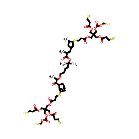 CC(CC1CC(C)C(SCCC(=O)OCC(COC(=O)CCS)(COC(=O)CCS)COC(=O)OCS)C1)C(=O)OC(C)(C)CCCCOC(C)C(=O)C1CC2CC(SCCC(=O)OCC(COC(=O)CCS)(COC(=O)CCS)COC(=O)OCS)C1C2